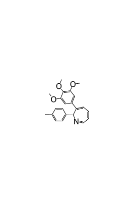 COc1cc(C2=CC=CC=NC2c2ccc(C)cc2)cc(OC)c1OC